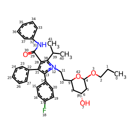 CCCOC1C[C@H](O)CC(CCn2c(-c3ccc(F)cc3)c(-c3ccccc3)c(C(=O)Nc3ccccc3)c2C(C)C)O1